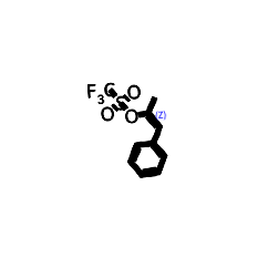 C/C(=C/c1ccccc1)OS(=O)(=O)C(F)(F)F